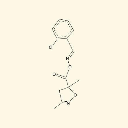 CC1=NOC(C)(C(=O)O/N=C/c2ccccc2Cl)C1